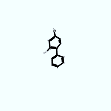 CCc1ccc(-c2ccccc2)c(F)c1